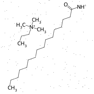 CCCCCCCCCCCCCCCC([NH-])=O.CCC[N+](C)(C)C